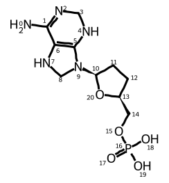 NC1=NCNC2=C1NCN2[C@H]1CC[C@@H](COP(=O)(O)O)O1